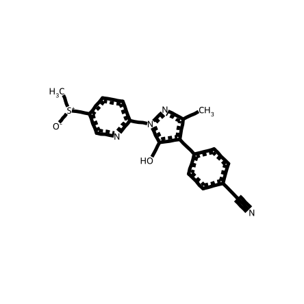 Cc1nn(-c2ccc([S+](C)[O-])cn2)c(O)c1-c1ccc(C#N)cc1